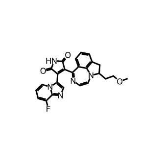 COCCC1Cc2cccc3c2N1C=CN=C3C1=C(c2cnc3c(F)cccn23)C(=O)NC1=O